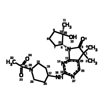 CC1(C)C(=O)N([C@@H]2CCC[C@@]2(C)O)c2nc(NC3CCN(S(C)(=O)=O)CC3)ncc21